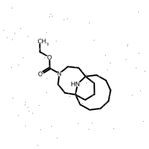 CCOC(=O)N1CCC23CCCCCCCC(CCC2)(CC1)N3